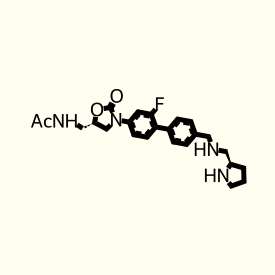 CC(=O)NC[C@H]1CN(c2ccc(-c3ccc(CNC[C@H]4CCCN4)cc3)c(F)c2)C(=O)O1